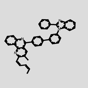 C/C=C\C=C/c1nc2c(cc1C)c(-c1ccc(-c3cccc(-n4c(-c5ccccc5)nc5ccccc54)c3)cc1)nc1ccccc12